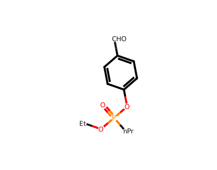 CCCP(=O)(OCC)Oc1ccc(C=O)cc1